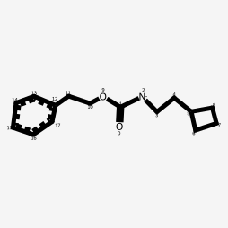 O=C([N]CCC1CCC1)OCCc1ccccc1